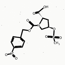 CS(=O)(=O)O[C@@H]1C[C@@H](C(=O)O)N(C(=O)OCc2ccc([N+](=O)[O-])cc2)C1